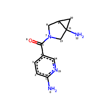 Nc1ccc(C(=O)N2CC3CC3(N)C2)cn1